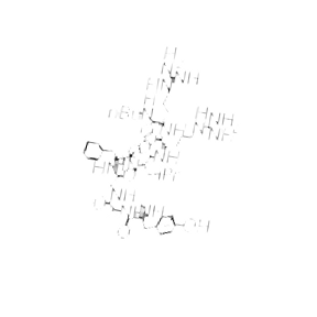 CCCCNC(=O)[C@H](CCCNC(=N)N)NC(=O)[C@H](CCCNC(=N)N)NC(=O)[C@H](CC(C)C)NC(=O)[C@H](Cc1ccccc1)NC(=O)CNC(=O)[C@@H](C)NC(=O)[C@@H](N)Cc1ccc(O)cc1